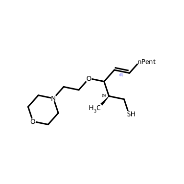 CCCCC/C=C/C(OCCN1CCOCC1)[C@H](C)CS